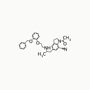 CC(=O)N1CCc2cc(CC(C)NCCOc3ccccc3OCc3ccccc3)cc(C#N)c21